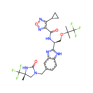 CC(C)(OC[C@H](NC(=O)c1nonc1C1CC1)c1nc2cc(CN3C[C@](C)(C(F)(F)F)NC3=O)ccc2[nH]1)C(F)(F)F